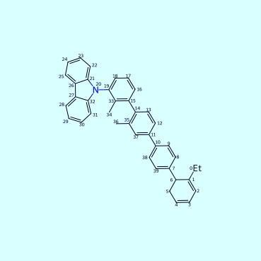 CCC1=CC=CCC1c1ccc(-c2ccc(-c3cccc(-n4c5ccccc5c5ccccc54)c3C)c(C)c2)cc1